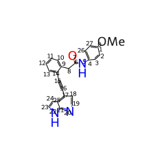 COc1ccc(NC(=O)Cc2ccccc2C#Cc2ccnc3[nH]ccc23)cc1